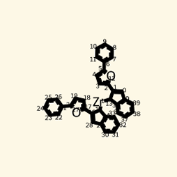 C1=C(c2ccc(-c3ccccc3)o2)[CH]([Zr][CH]2C(c3ccc(-c4ccccc4)o3)=Cc3ccccc32)c2ccccc21